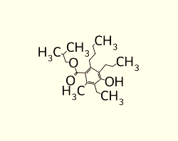 CCCCc1c(CCC)c(O)c(CC)c(C)c1C(=O)OCC(C)C